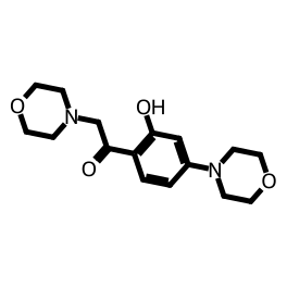 O=C(CN1CCOCC1)c1ccc(N2CCOCC2)cc1O